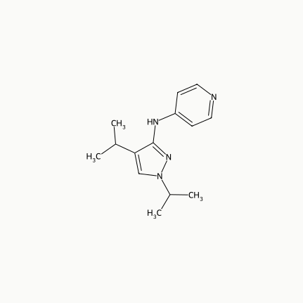 CC(C)c1cn(C(C)C)nc1Nc1ccncc1